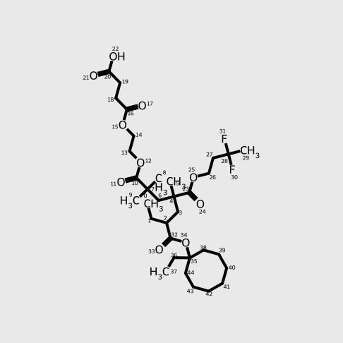 CCC(CC(C)(CC(C)(C)C(=O)OCCOC(=O)CCC(=O)O)C(=O)OCCC(C)(F)F)C(=O)OC1(CC)CCCCCCC1